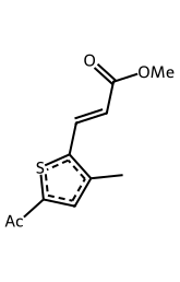 COC(=O)C=Cc1sc(C(C)=O)cc1C